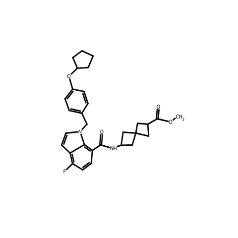 COC(=O)C1CC2(CC(NC(=O)c3ccc(F)c4ccn(Cc5ccc(OC6CCCC6)cc5)c34)C2)C1